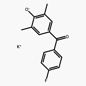 Cc1cc(C(=O)c2ccc(F)cc2)cc(C)c1[O-].[K+]